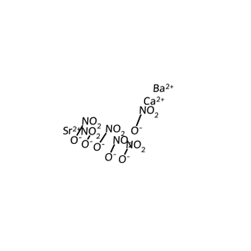 O=[N+]([O-])[O-].O=[N+]([O-])[O-].O=[N+]([O-])[O-].O=[N+]([O-])[O-].O=[N+]([O-])[O-].O=[N+]([O-])[O-].[Ba+2].[Ca+2].[Sr+2]